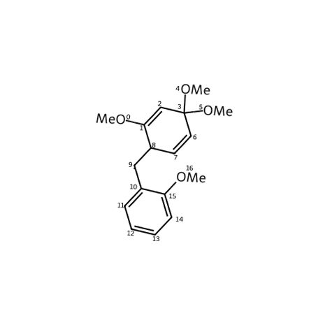 COC1=CC(OC)(OC)C=CC1[CH]c1ccccc1OC